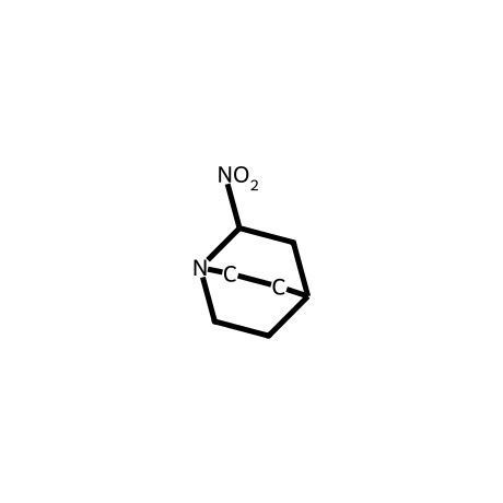 O=[N+]([O-])C1CC2CCN1CC2